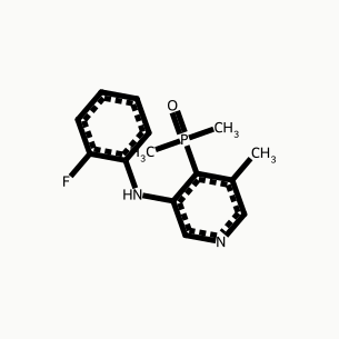 Cc1cncc(Nc2ccccc2F)c1P(C)(C)=O